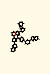 c1ccc(-c2ccc(-c3ccc4ccccc4c3)cc2N(c2ccc(-c3cccc(-c4ccc5ccccc5c4)c3)cc2)c2cccc(-c3cccc4c3oc3ccccc34)c2)cc1